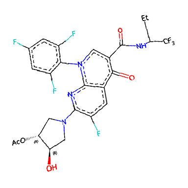 CCC(NC(=O)c1cn(-c2c(F)cc(F)cc2F)c2nc(N3C[C@@H](O)[C@H](OC(C)=O)C3)c(F)cc2c1=O)C(F)(F)F